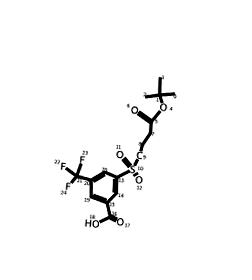 CC(C)(C)OC(=O)CCCS(=O)(=O)c1cc(C(=O)O)cc(C(F)(F)F)c1